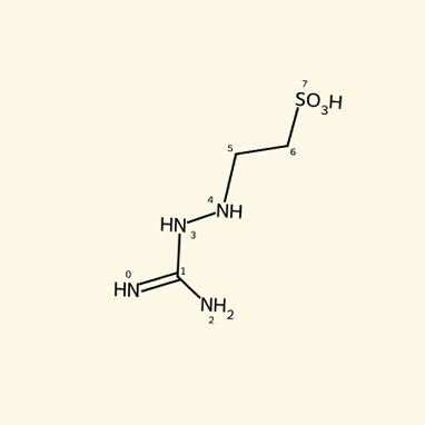 N=C(N)NNCCS(=O)(=O)O